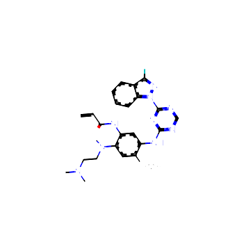 C=CC(=O)Nc1cc(Nc2ncnc(-n3nc(F)c4ccccc43)n2)c(OC)cc1N(C)CCN(C)C